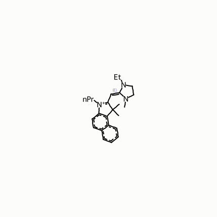 CCC[N+]1=C(/C=C2\N(C)CCN2CC)C(C)(C)c2c1ccc1ccccc21